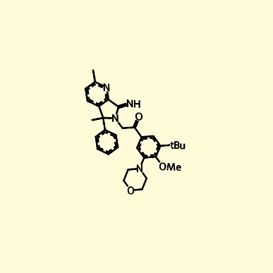 COc1c(N2CCOCC2)cc(C(=O)CN2C(=N)c3nc(C)ccc3C2(C)c2ccccc2)cc1C(C)(C)C